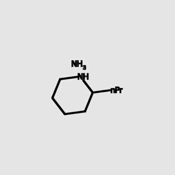 CCCC1CCCCN1.N